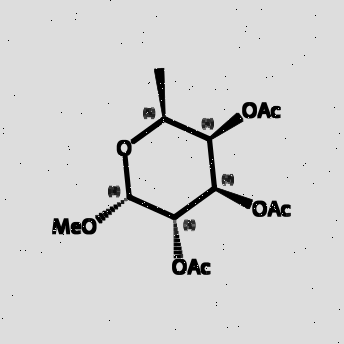 CO[C@@H]1O[C@@H](C)[C@@H](OC(C)=O)[C@@H](OC(C)=O)[C@@H]1OC(C)=O